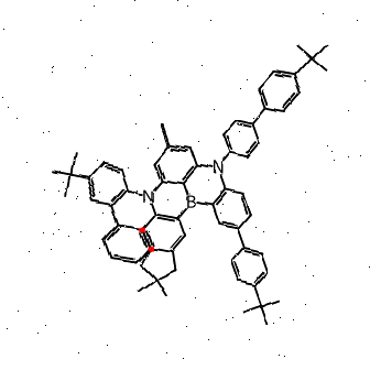 Cc1cc2c3c(c1)N(c1ccc(C(C)(C)C)cc1-c1ccccc1)c1cc4c(cc1B3c1cc(-c3ccc(C(C)(C)C)cc3)ccc1N2c1ccc(-c2ccc(C(C)(C)C)cc2)cc1)CC(C)(C)C4